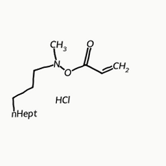 C=CC(=O)ON(C)CCCCCCCCCC.Cl